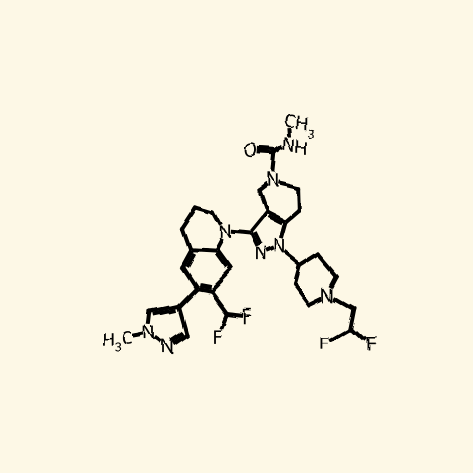 CNC(=O)N1CCc2c(c(N3CCCc4cc(-c5cnn(C)c5)c(C(F)F)cc43)nn2C2CCN(CC(F)F)CC2)C1